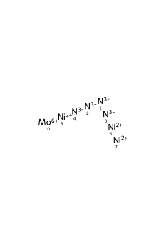 [Mo+6].[N-3].[N-3].[N-3].[N-3].[Ni+2].[Ni+2].[Ni+2]